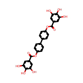 O=C(Oc1ccc(-c2ccc(OC(=O)c3cc(O)c(O)c(O)c3)cc2)cc1)c1cc(O)c(O)c(O)c1